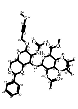 COC(=O)C1OC(OC2C(NC(C)=O)C(OCC#CSI)OC3COC(c4ccccc4)OC32)C(OC(C)=O)C(OC(C)=O)C1OC(C)=O